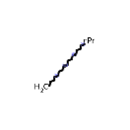 C=CCC/C=C/CC/C=C/CC/C=C/CC/C=C/CCC